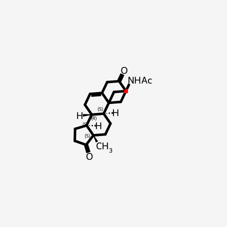 CC(=O)NCCC12CCC(=O)CC1=CC[C@@H]1[C@@H]2CC[C@]2(C)C(=O)CC[C@@H]12